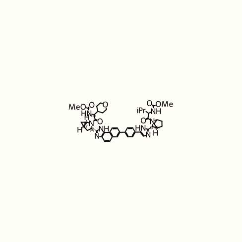 COC(=O)NC(C(=O)N1C2CC[C@@H](C2)[C@H]1c1ncc(-c2ccc(-c3ccc4c(ccc5nc([C@@H]6C[C@H]7C[C@H]7N6C(=O)[C@@H](NC(=O)OC)C6CCOCC6)[nH]c54)c3)cc2)[nH]1)C(C)C